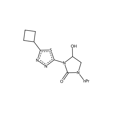 CCCN1CC(O)N(c2nnc(C3CCC3)s2)C1=O